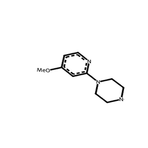 COc1ccnc(N2CC[N]CC2)c1